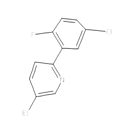 CCc1ccc(-c2cc(Cl)ccc2F)nc1